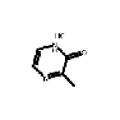 Cc1ncc[nH]c1=O.Cl